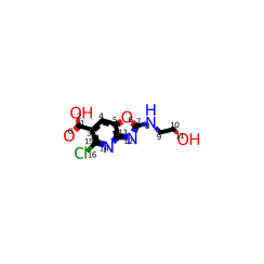 O=C(O)c1cc2oc(NCCO)nc2nc1Cl